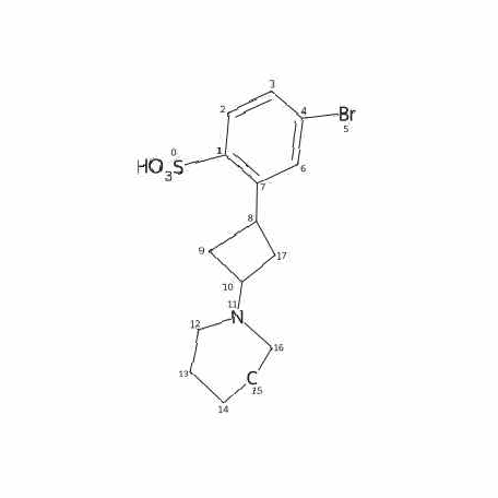 O=S(=O)(O)c1ccc(Br)cc1C1CC(N2CCCCC2)C1